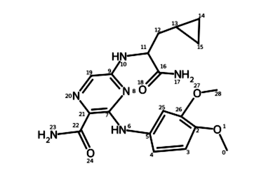 COc1ccc(Nc2nc(NC(CC3CC3)C(N)=O)cnc2C(N)=O)cc1OC